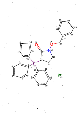 O=C1C([P+](c2ccccc2)(c2ccccc2)c2ccccc2)CCN1OCc1ccccc1.[Br-]